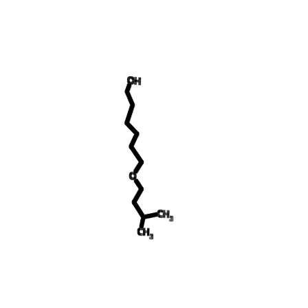 CC(C)CCOCCCCCCO